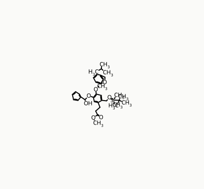 CC(C)C.COC(=O)CCc1cc(OC(O)c2ccccc2)c(OC)cc1CO[Si](C)(C)C(C)(C)C.c1cc2cc(c1)OC2